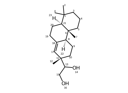 CC1(C)CCC[C@]2(C)[C@H]3CC[C@](C)(C(O)CO)C=C3CC[C@@H]12